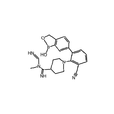 CN(C=N)C(=N)C1CCN(c2c(C#N)cccc2-c2ccc3c(c2)B(O)OC3)CC1